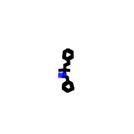 CC(C)(CCc1ccccc1)NCc1ccccc1